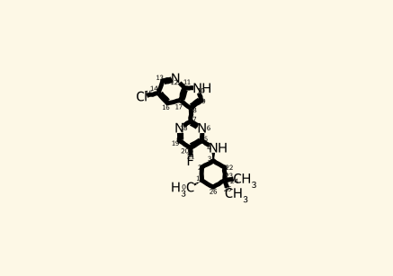 C[C@@H]1C[C@@H](Nc2nc(-c3c[nH]c4ncc(Cl)cc34)ncc2F)CC(C)(C)C1